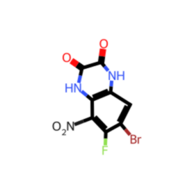 O=c1[nH]c2cc(Br)c(F)c([N+](=O)[O-])c2[nH]c1=O